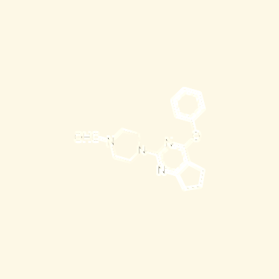 O=CN1CCN(c2nc3c(c(Oc4ccccc4)n2)CCC3)CC1